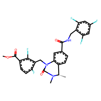 COC(=O)c1ccc(F)c(CN2C(=O)N(C)[C@@H](C)c3ccc(C(=O)NCc4c(F)cc(F)cc4F)cc32)c1F